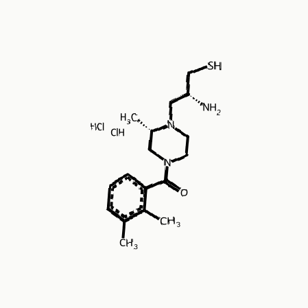 Cc1cccc(C(=O)N2CCN(C[C@@H](N)CS)[C@@H](C)C2)c1C.Cl.Cl